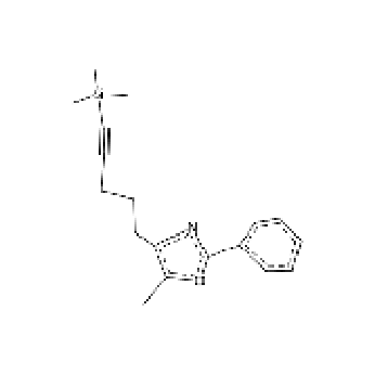 Cc1oc(-c2ccccc2)nc1CCCC#C[Si](C)(C)C